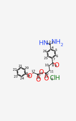 Cl.N=C(N)c1ccc(C(=O)CCC(=O)OC(=O)COc2ccccc2)cc1